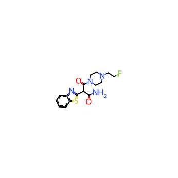 NC(=O)C(C(=O)N1CCN(CCF)CC1)c1nc2ccccc2s1